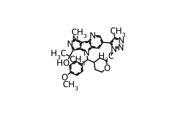 COc1ccc(C(C2CCOCC2)n2c3cc(-c4c(C)nnn4C)cnc3c3c2c(C(C)(C)O)nn3C)cc1